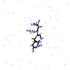 CC(=N)/C(C)=C(\N)c1cnc2[nH]c(C)cc2c1